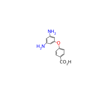 Nc1cc(N)cc(Oc2ccc(C(=O)O)cc2)c1